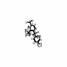 CC(C)c1ccc(C(C)(C)c2ccc(Cl)cn2)c(C(F)(F)F)n1